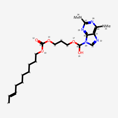 CC=CCCCCCCCOC(=O)OCCCOC(O)n1cnc2c(NC)nc(NC)nc21